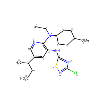 COC1CCC(N(CC(C)C)c2ncc(C(C)CC(=O)O)cc2Nc2nc(Cl)ns2)CC1